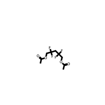 CC(=O)OCC(F)(F)CC(F)(F)COC(C)=O